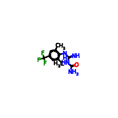 Cc1cc(C(F)(F)F)cc(C)c1NC(=N)NC(N)=O